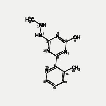 CNNc1nc(O)nc(-c2ncccc2C)n1